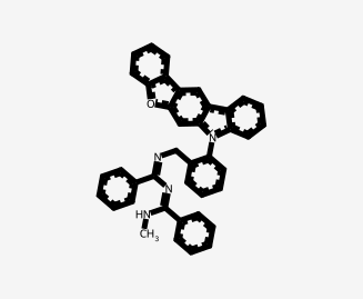 CN/C(=N\C(=N/Cc1ccccc1-n1c2ccccc2c2cc3c(cc21)oc1ccccc13)c1ccccc1)c1ccccc1